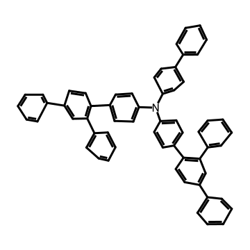 c1ccc(-c2ccc(N(c3ccc(-c4ccc(-c5ccccc5)cc4-c4ccccc4)cc3)c3ccc(-c4ccc(-c5ccccc5)cc4-c4ccccc4)cc3)cc2)cc1